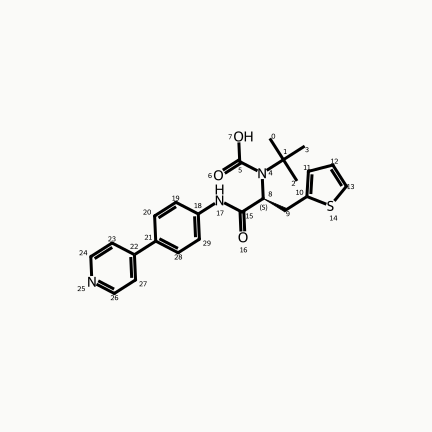 CC(C)(C)N(C(=O)O)[C@@H](Cc1cccs1)C(=O)Nc1ccc(-c2ccncc2)cc1